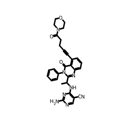 CC(Nc1nc(N)ncc1C#N)c1nc2cccc(C#CCCC(=O)N3CCOCC3)c2c(=O)n1-c1ccccc1